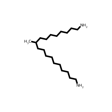 CC(CCCCCCCCN)CCCCCCCCCCN